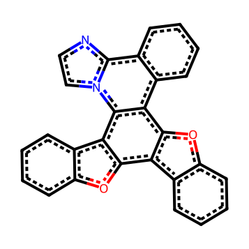 c1ccc2c(c1)oc1c2c2oc3ccccc3c2c2c1c1ccccc1c1nccn12